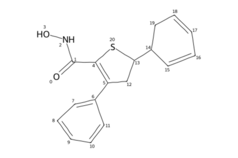 O=C(NO)C1=C(c2ccccc2)CC(C2C=CC=CC2)S1